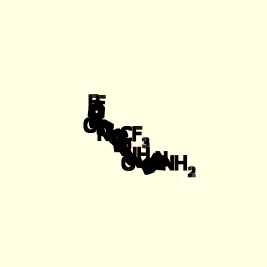 Nc1cc2ccc(C=CC(=O)NCc3cc4cc(-c5ccc(C(=O)N6CCC(F)(F)CC6)cn5)cc(C(F)(F)F)c4o3)cc2cn1